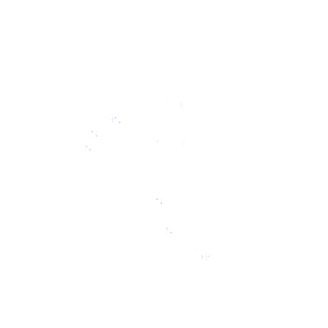 CCOC(=O)C1=C(c2cc(F)ccc2F)NC2=C(C(c3cccs3)N=N2)C1c1ccc(N2CCN(C(=O)OC(C)(C)C)CC2)cc1